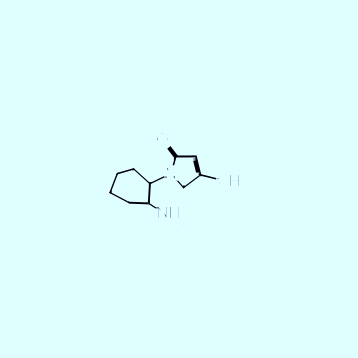 CC1=CC(=O)N(C2CCCCC2N)C1